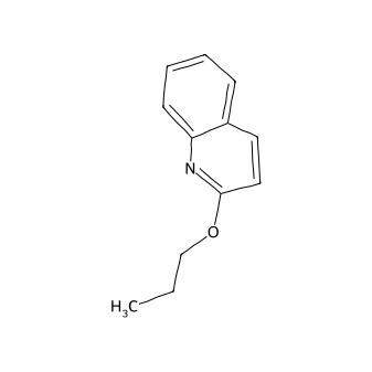 CCCOc1ccc2ccccc2n1